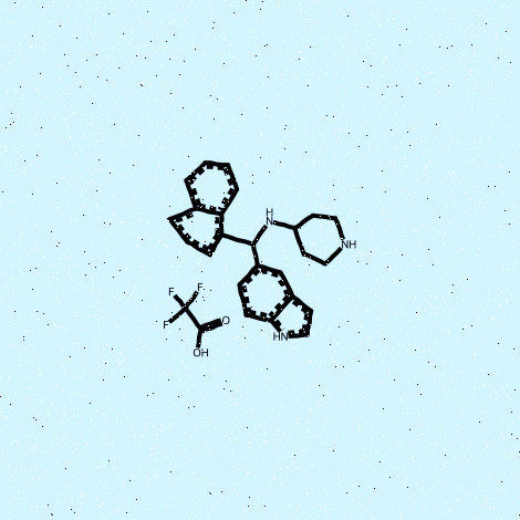 O=C(O)C(F)(F)F.c1ccc2c(C(NC3CCNCC3)c3ccc4[nH]ccc4c3)cccc2c1